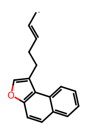 [CH2]C=CCCc1coc2ccc3ccccc3c12